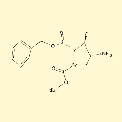 CC(C)(C)OC(=O)N1C[C@@H](N)[C@H](F)[C@H]1C(=O)OCc1ccccc1